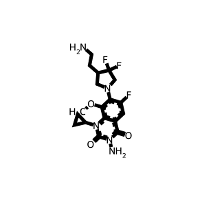 COc1c(N2CC(CCN)C(F)(F)C2)c(F)cc2c(=O)n(N)c(=O)n(C3CC3)c12